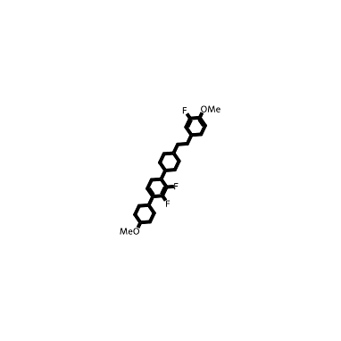 COC1=CCC(CCC2CCC(C3CC=C(C4CCC(OC)CC4)C(F)=C3F)CC2)C=C1F